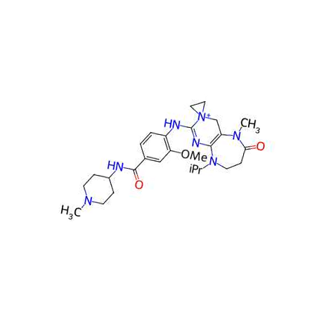 COc1cc(C(=O)NC2CCN(C)CC2)ccc1NC1=NC2=C(C[N+]13CC3)N(C)C(=O)CCN2C(C)C